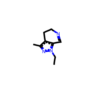 CCn1nc(C)c2c1C=NCC2